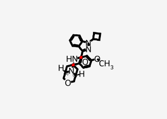 COc1ccc(CN2[C@@H]3COC[C@H]2C[C@@H](NC(=O)c2nn(C4CCC4)c4ccccc24)C3)cc1